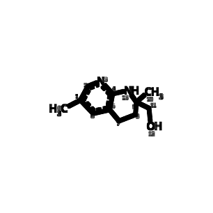 Cc1cnc2c(c1)CCC(C)(CO)N2